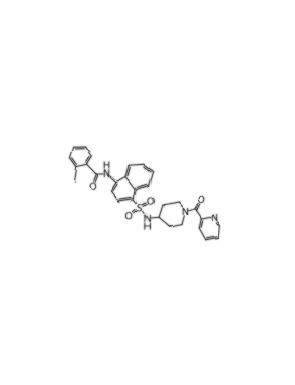 Cc1ccccc1C(=O)Nc1ccc(S(=O)(=O)NC2CCN(C(=O)c3ccccn3)CC2)c2ccccc12